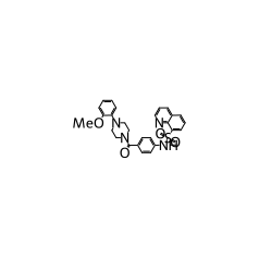 COc1ccccc1N1CCN(C(=O)c2ccc(NS(=O)(=O)c3cccc4cccnc34)cc2)CC1